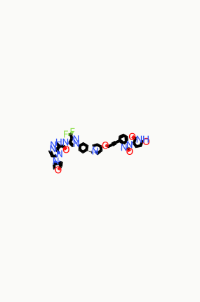 Cn1c(=O)n(C2CCC(=O)NC2=O)c2cccc(C#CCOC3CCN(C[C@H]4CC[C@H](n5cc(NC(=O)c6cnn7ccc(N8CC9CC8CO9)nc67)c(C(F)F)n5)CC4)CC3)c21